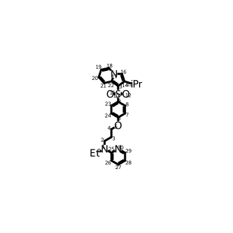 CCN(CCCOc1ccc(S(=O)(=O)c2c(C(C)C)cn3ccccc23)cc1)c1ccccn1